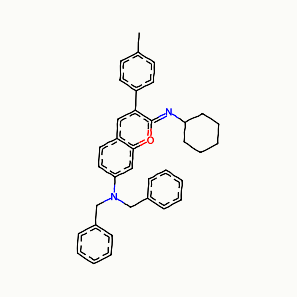 Cc1ccc(-c2cc3ccc(N(Cc4ccccc4)Cc4ccccc4)cc3oc2=NC2CCCCC2)cc1